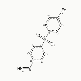 CCc1ccc(S(=O)(=O)c2ccc(C=N)cc2)cc1